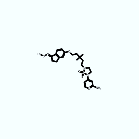 CCO/N=C1\CCc2cc(OCCC(C)(C)CCN3CCN(c4ccnc(N)c4)S3(=O)=O)ccc21